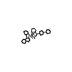 C1=CCN2C(=C1)C(c1ccc(-c3ccccc3)cc1)=CN=C2n1c2ccccc2c2c3ccccc3ccc21